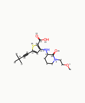 COCCN1CCCC(Nc2cc(C#CC(C)(C)C)sc2C(=O)O)C1=O